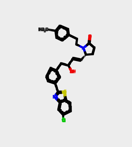 O=C(O)c1ccc(CCN2C(=O)CC[C@@H]2/C=C/[C@@H](O)Cc2cccc(-c3nc4cc(Cl)ccc4s3)c2)cc1